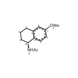 COc1ccc2c(c1)CCC[C@@H]2NC(C)=O